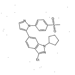 CCc1nn(C2CCCC2)c2cc(-c3ccnn3-c3ccc(S(C)(=O)=O)cc3)ccc12